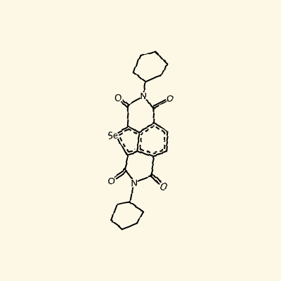 O=C1c2ccc3c4c([se]c(c24)C(=O)N1C1CCCCC1)C(=O)N(C1CCCCC1)C3=O